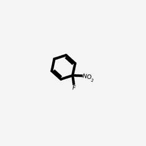 O=[N+]([O-])C1(F)C=CCC=C1